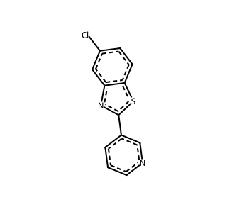 Clc1ccc2sc(-c3cccnc3)nc2c1